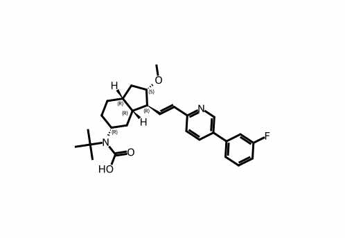 CO[C@H]1C[C@H]2CC[C@@H](N(C(=O)O)C(C)(C)C)C[C@H]2[C@@H]1C=Cc1ccc(-c2cccc(F)c2)cn1